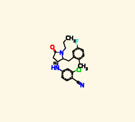 CCCN1C(=O)C[C@H](Nc2ccc(C#N)c(Cl)c2)C1Cc1cc(F)ccc1C